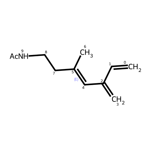 C=CC(=C)/C=C(\C)CCNC(C)=O